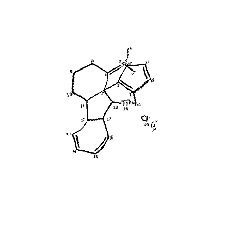 CC1=C(C23C(=[Si](C)C)CCCC2C2C=CC=CC2[CH]3[Ti+2])CC=C1.[Cl-].[Cl-]